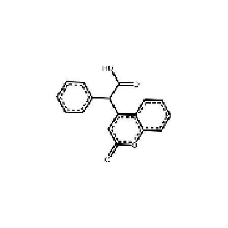 O=C(O)C(c1ccccc1)c1cc(=O)oc2ccccc12